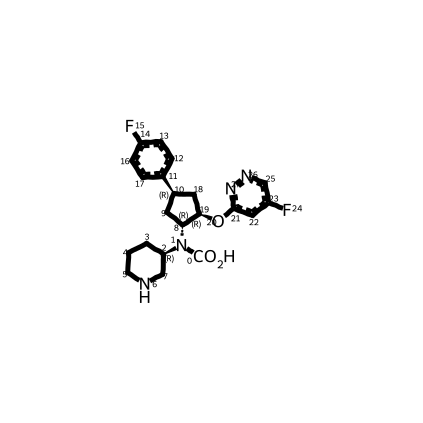 O=C(O)N([C@@H]1CCCNC1)[C@@H]1C[C@@H](c2ccc(F)cc2)C[C@H]1Oc1cc(F)cnn1